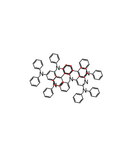 c1ccc(-c2cccc(-c3ccccc3)c2N(c2cccc(N(c3ccccc3)c3cc(N(c4ccccc4)c4ccccc4)cc(N(c4ccccc4)c4ccccc4)c3)c2)c2cc(N(c3ccccc3)c3ccccc3)nc(N(c3ccccc3)c3ccccc3)c2)cc1